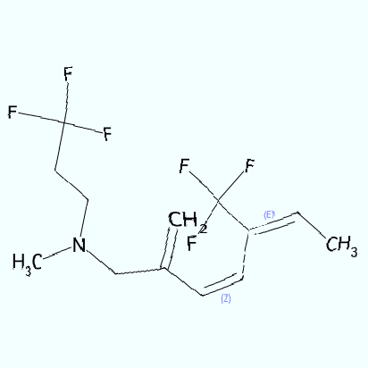 C=C(/C=C\C(=C/C)C(F)(F)F)CN(C)CCC(F)(F)F